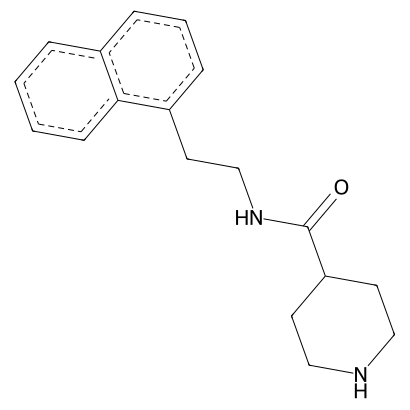 O=C(NCCc1cccc2ccccc12)C1CCNCC1